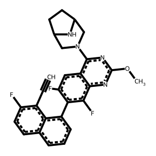 C#Cc1c(F)ccc2cccc(-c3c(F)cc4c(N5CC6CCC(C5)N6)nc(OC)nc4c3F)c12